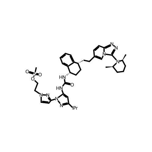 CC(C)c1cc(NC(=O)N[C@H]2CC[C@@H](CCc3ccc4nnc(N5[C@H](C)CCC[C@@H]5C)n4c3)c3ccccc32)n(-c2ccn(CCOS(C)(=O)=O)n2)n1